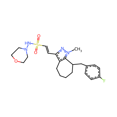 Cn1nc(C=CS(=O)(=O)NN2CCOCC2)c2c1C(Cc1ccc(F)cc1)CCCC2